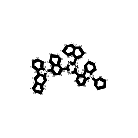 c1ccc(-n2c3ccccc3c3c(-c4nc(-c5cccc6ccccc56)nc(-c5ccc(-n6c7ccccc7c7cc8ccccc8cc76)c6ccccc56)n4)cccc32)cc1